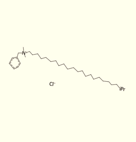 CC(C)CCCCCCCCCCCCCCCCCCCCC[N+](C)(C)Cc1ccccc1.[Cl-]